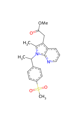 COC(=O)Cc1c(C)n(C(C)c2ccc(S(C)(=O)=O)cc2)c2ncccc12